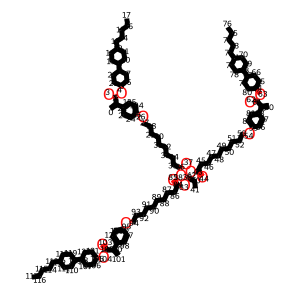 C=C(C(=O)OC1CCC(C2CCC(CCCCC)CC2)CC1)c1ccc(OCCCCCCCCCC(=O)OC(CC)(OC(=O)CCCCCCCCCOc2ccc(C(=C)C(=O)OC3CCC(C4CCC(CCCCC)CC4)CC3)cc2)OC(=O)CCCCCCCCCOc2ccc(C(=C)C(=O)OC3CCC(C4CCC(CCCCC)CC4)CC3)cc2)cc1